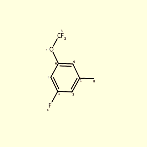 Cc1cc(F)cc(OC(F)(F)F)c1